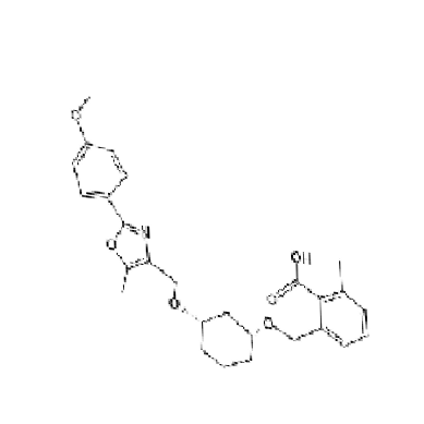 COc1ccc(-c2nc(CO[C@H]3CCC[C@@H](OCc4cccc(C)c4C(=O)O)C3)c(C)o2)cc1